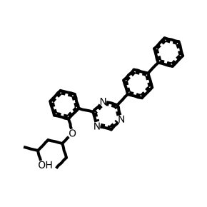 CCC(CC(C)O)Oc1ccccc1-c1ncnc(-c2ccc(-c3ccccc3)cc2)n1